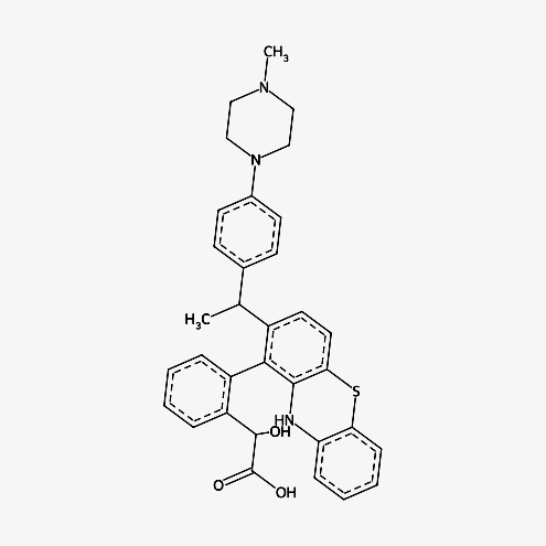 CC(c1ccc(N2CCN(C)CC2)cc1)c1ccc2c(c1-c1ccccc1C(O)C(=O)O)Nc1ccccc1S2